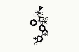 Cn1cc(-n2ncc3cc(N4[C@H](c5ccccc5)[C@@H](NS(=O)(=O)C5CC5)CS4(=O)=O)ccc32)ccc1=O